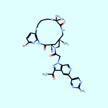 CC(=O)c1nn(CC(=O)N2C[C@@]3(C)CNC(=O)C(C)(C)CCCCCc4ccc(Br)nc4NC(=O)[C@@H]2C3)c2cnc(-c3cnc(C)nc3)cc12